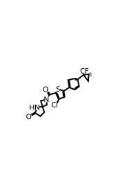 O=C1CCC2(CN(C(=O)c3sc(-c4ccc(C5(C(F)(F)F)CC5)cc4)cc3Cl)C2)N1